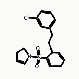 O=S(=O)(C1=CCC=CC1CCc1cccc(Cl)c1)N1C=CCC1